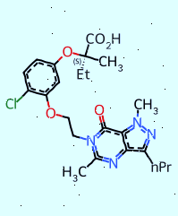 CCCc1nn(C)c2c(=O)n(CCOc3cc(O[C@@](C)(CC)C(=O)O)ccc3Cl)c(C)nc12